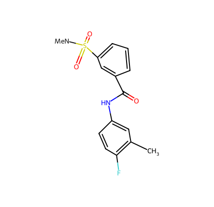 CNS(=O)(=O)c1cccc(C(=O)Nc2ccc(F)c(C)c2)c1